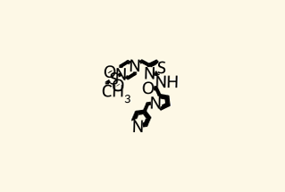 CCS(=O)(=O)N1CCN(Cc2csc(NC(=O)c3cccn3Cc3ccncc3)n2)CC1